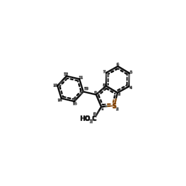 O=C(O)c1sc2ccccc2c1-c1ccccc1